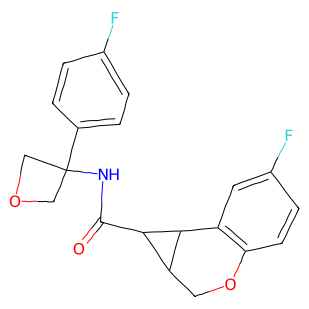 O=C(NC1(c2ccc(F)cc2)COC1)C1C2COc3ccc(F)cc3C21